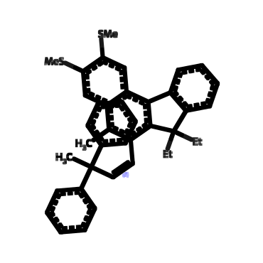 CCC1(CC)c2ccccc2-c2c1c(/C=C\C(C)(c1ccccc1)c1ccccc1)c(C)c1cc(SC)c(SC)cc21